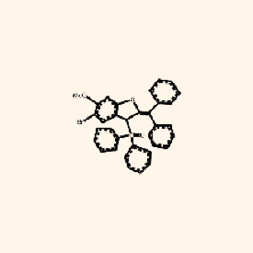 COc1cc2c(cc1Br)C(P(=O)(c1ccccc1)c1ccccc1)C(=C(c1ccccc1)c1ccccc1)O2